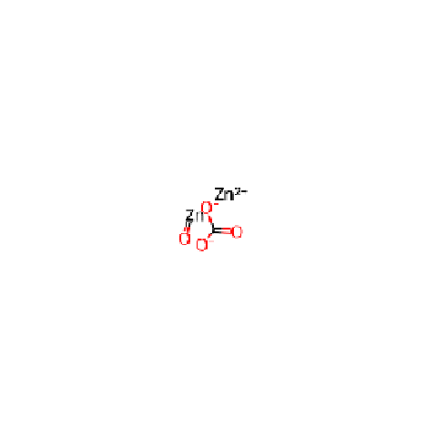 O=C([O-])[O-].[O]=[Zn].[Zn+2]